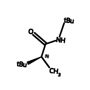 C[C@H](C(=O)NC(C)(C)C)C(C)(C)C